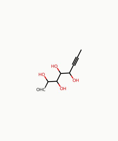 CC#CC(O)C(O)C(O)C(O)C=O